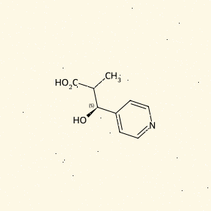 CC(C(=O)O)[C@H](O)c1ccncc1